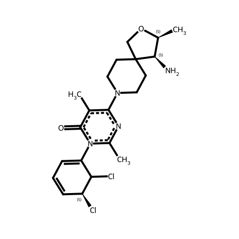 Cc1c(N2CCC3(CC2)CO[C@@H](C)[C@H]3N)nc(C)n(C2=CC=C[C@H](Cl)C2Cl)c1=O